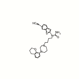 C#Cc1ccc2cc(N(CCCCN3CCCN(c4cccc5c4OCCC5)CC3)C(N)=O)sc2c1